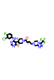 O=C(/C=C/CN1CCn2c(nnc2C(F)(F)F)C1)N1CCc2c(sc3ncnc(Nc4ccc(F)c(Cl)c4)c23)C1